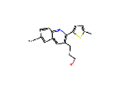 Cc1ccc(-c2nc3ccc(C(C)(C)C)cc3cc2CCCO)s1